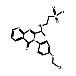 CCS(=O)(=O)CCNC(C)c1nc2ncccc2c(=O)n1-c1ccc(OCC(F)(F)F)cc1